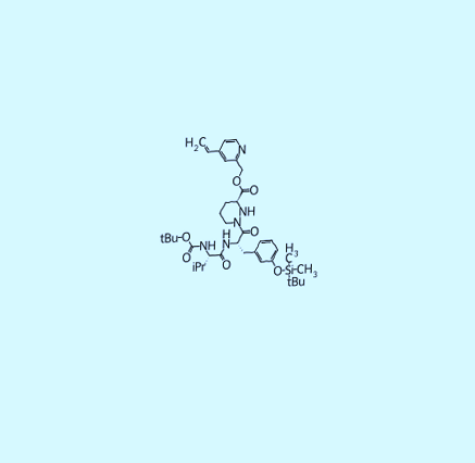 C=Cc1ccnc(COC(=O)[C@@H]2CCCN(C(=O)[C@H](Cc3cccc(O[Si](C)(C)C(C)(C)C)c3)NC(=O)[C@@H](NC(=O)OC(C)(C)C)C(C)C)N2)c1